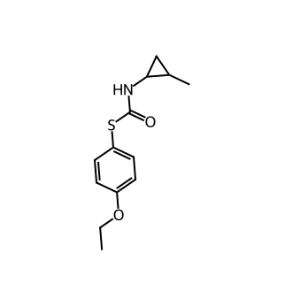 CCOc1ccc(SC(=O)NC2CC2C)cc1